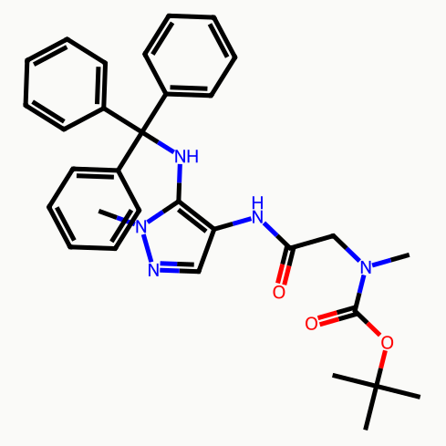 CN(CC(=O)Nc1cnn(C)c1NC(c1ccccc1)(c1ccccc1)c1ccccc1)C(=O)OC(C)(C)C